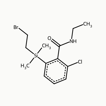 CCNC(=O)c1c(Cl)cccc1[Si](C)(C)CCBr